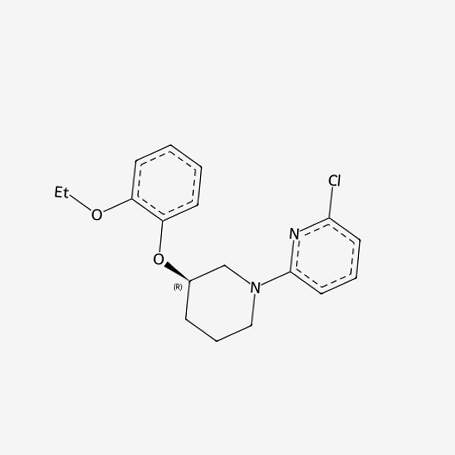 CCOc1ccccc1O[C@@H]1CCCN(c2cccc(Cl)n2)C1